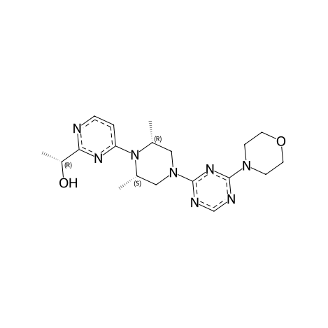 C[C@@H]1CN(c2ncnc(N3CCOCC3)n2)C[C@H](C)N1c1ccnc([C@@H](C)O)n1